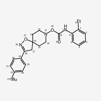 CCc1ccccc1NC(=O)ON1CCC2(CC1)CC(c1ccc(C(C)(C)C)cc1)=NO2